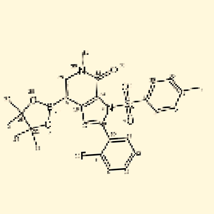 Cc1ccc(S(=O)(=O)n2c(-c3ccccc3F)cc3c(B4OC(C)(C)C(C)(C)O4)cn(C)c(=O)c32)cc1